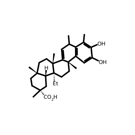 CC[C@@]12CC[C@]3(C)C(=CC(C)c4c3cc(O)c(O)c4C)[C@@]1(C)CC[C@@]1(C)CC[C@@](C)(C(=O)O)C[C@H]12